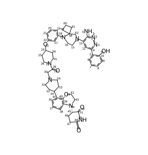 Nc1nnc(-c2ccccc2O)cc1N1CCN(c2cccc(OC3CCN(C(=O)CN4CCC(c5cccc6c5OCCN6[C@H]5CCC(=O)NC5=O)CC4)CC3)c2)C2(CCC2)C1